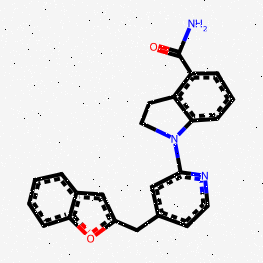 NC(=O)c1cccc2c1CCN2c1cc(Cc2cc3ccccc3o2)ccn1